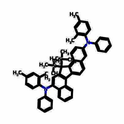 Cc1ccc(N(c2ccccc2)c2ccc3c4c(ccc3c2)-c2c(cc(N(c3ccccc3)c3ccc(C)cc3C)c3ccccc23)C4([Si](C)(C)C)[Si](C)(C)C)c(C)c1